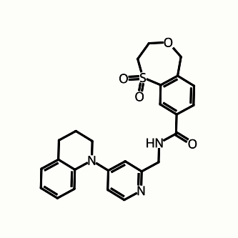 O=C(NCc1cc(N2CCCc3ccccc32)ccn1)c1ccc2c(c1)S(=O)(=O)CCOC2